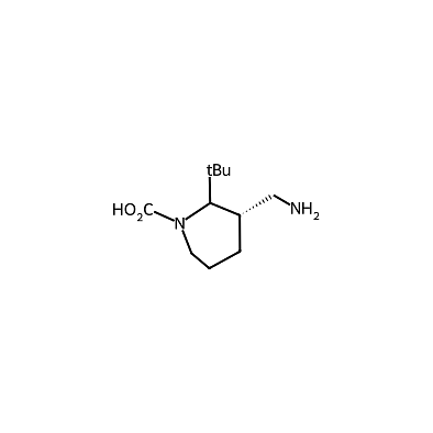 CC(C)(C)C1[C@H](CN)CCCN1C(=O)O